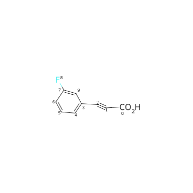 O=C(O)C#Cc1cccc(F)c1